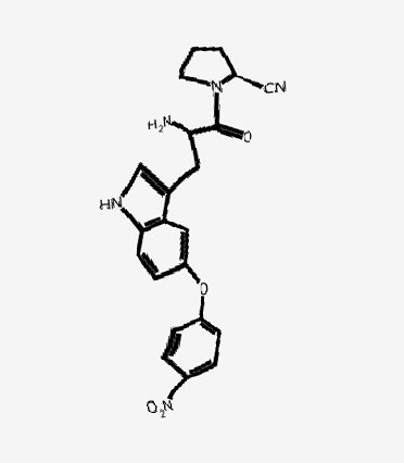 N#C[C@@H]1CCCN1C(=O)C(N)Cc1c[nH]c2ccc(Oc3ccc([N+](=O)[O-])cc3)cc12